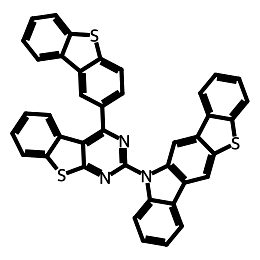 c1ccc2c(c1)sc1ccc(-c3nc(-n4c5ccccc5c5cc6sc7ccccc7c6cc54)nc4sc5ccccc5c34)cc12